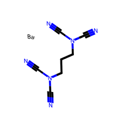 N#CN(C#N)CCCN(C#N)C#N.[Ba]